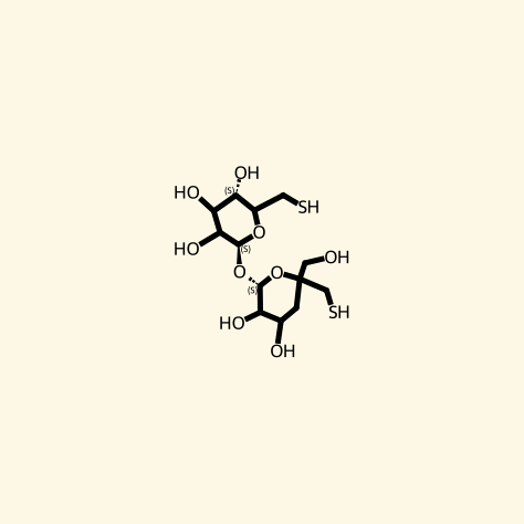 OCC1(CS)CC(O)C(O)[C@H](O[C@@H]2OC(CS)[C@@H](O)C(O)C2O)O1